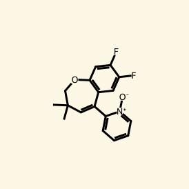 CC1(C)C=C(c2cccc[n+]2[O-])c2cc(F)c(F)cc2OC1